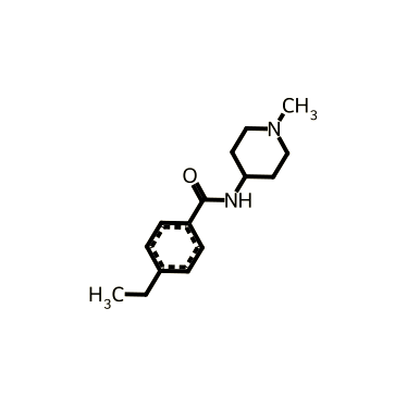 CCc1ccc(C(=O)NC2CCN(C)CC2)cc1